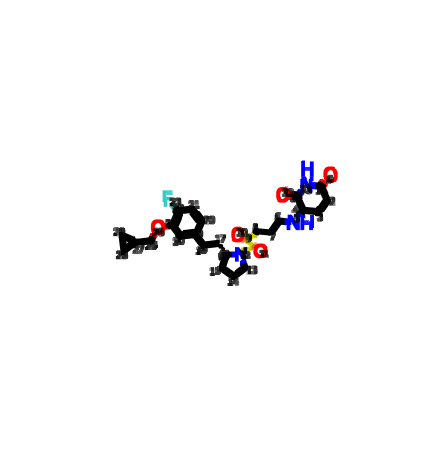 O=C1CCC(NCCCS(=O)(=O)N2CCC[C@@H]2CCc2ccc(F)c(OCC3CC3)c2)C(=O)N1